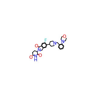 O=C1CCC(N2Cc3cc(C4CCN(Cc5ccccc5N5CCOCC5)CC4)c(F)cc3C2=O)C(=O)N1